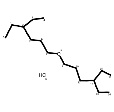 CCC(CC)CCCOCCCC(CC)CC.Cl